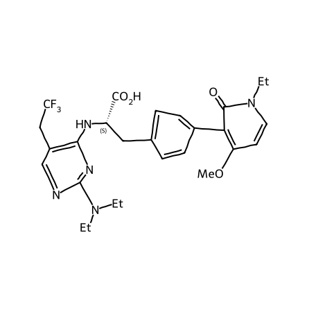 CCN(CC)c1ncc(CC(F)(F)F)c(N[C@@H](Cc2ccc(-c3c(OC)ccn(CC)c3=O)cc2)C(=O)O)n1